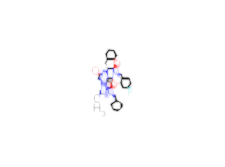 C=CCN(C(=O)NCc1ccccc1)N1CC(=O)N2[C@@H](Cc3ccccc3)C(=O)N(Cc3ccc(F)cc3)C[C@@H]21